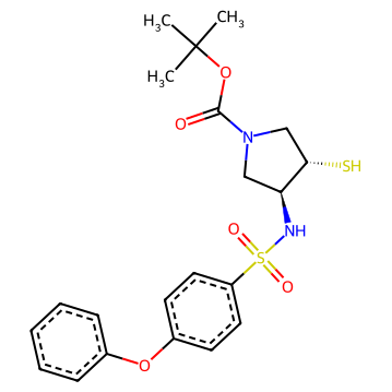 CC(C)(C)OC(=O)N1C[C@H](NS(=O)(=O)c2ccc(Oc3ccccc3)cc2)[C@@H](S)C1